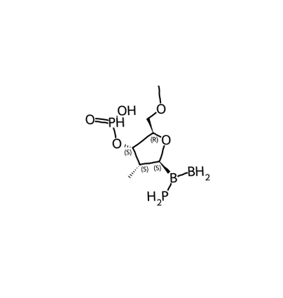 BB(P)[C@@H]1O[C@H](COC)[C@@H](O[PH](=O)O)[C@H]1C